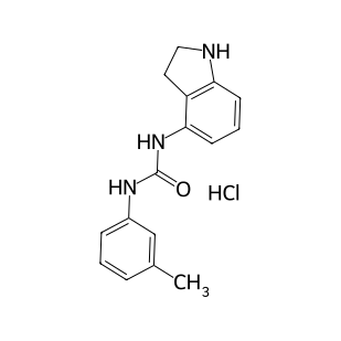 Cc1cccc(NC(=O)Nc2cccc3c2CCN3)c1.Cl